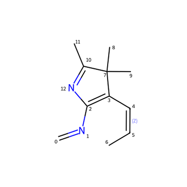 C=NC1=C(/C=C\C)C(C)(C)C(C)=N1